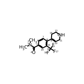 CN(C)C(=O)c1ccc(C2=CCNCC2)c(C(F)(F)F)c1